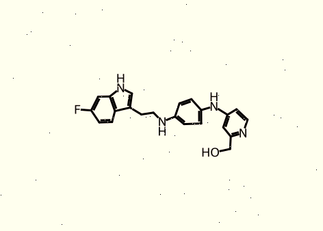 OCc1cc(Nc2ccc(NCCc3c[nH]c4cc(F)ccc34)cc2)ccn1